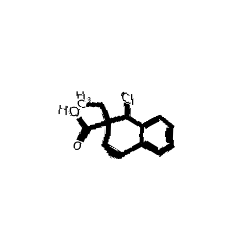 CCC1(C(=O)O)CCc2ccccc2C1Cl